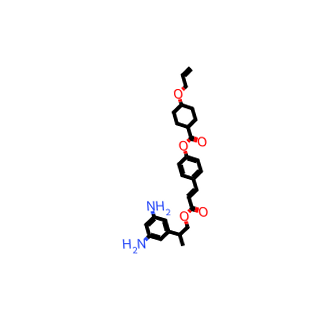 C=CCOC1CCC(C(=O)Oc2ccc(/C=C/C(=O)OCC(C)c3cc(N)cc(N)c3)cc2)CC1